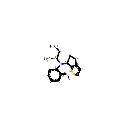 CC[C@H](C)N(c1ccccc1C)C1CCc2ccsc21